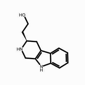 OCC[C@H]1Cc2c([nH]c3ccccc23)CN1